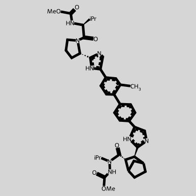 COC(=O)N[C@H](C(=O)N1CCC[C@H]1c1ncc(-c2ccc(-c3ccc(-c4cnc([C@H]5C6CCC(C6)[C@@H]5C(=O)N(NC(=O)OC)C(C)C)[nH]4)cc3)c(C)c2)[nH]1)C(C)C